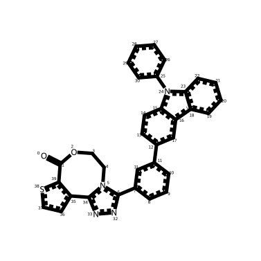 O=C1OCCn2c(-c3cccc(-c4ccc5c(c4)c4ccccc4n5-c4ccccc4)c3)nnc2-c2ccsc21